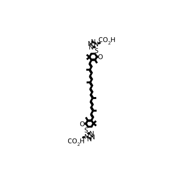 CC1=C(/C=C/C(C)=C/C=C/C(C)=C/C=C/C=C(C)/C=C/C=C(C)/C=C/C2=C(C)C(=O)C(Sc3nnnn3CC(=O)O)CC2(C)C)C(C)(C)CC(Sc2nnnn2CC(=O)O)C1=O